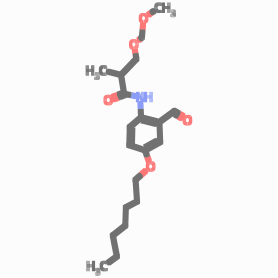 CCCCCCCOc1ccc(NC(=O)C(C)COCOC)c(C=O)c1